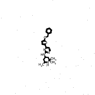 C=C1CC(Nc2nccc(-c3ccc(OCc4ccccc4)s3)n2)CC(C)(C)N1